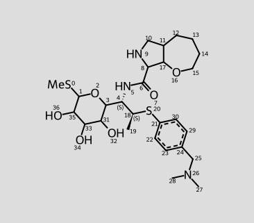 CSC1OC([C@H](NC(=O)C2NCC3CCCCOC32)[C@H](C)Sc2ccc(CN(C)C)cc2)C(O)C(O)C1O